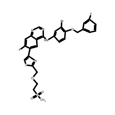 CS(=O)(=O)CCOCc1nc(-c2cc3c(Nc4ccc(OCc5cccc(F)c5)c(Br)c4)ncnc3cc2F)cs1